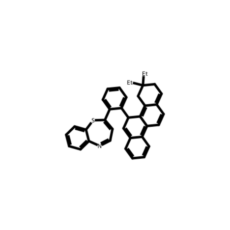 CCC1(CC)CC=c2ccc3c(c2C1)C(c1ccccc1C1=CC=Nc2ccccc2S1)C=c1ccccc1=3